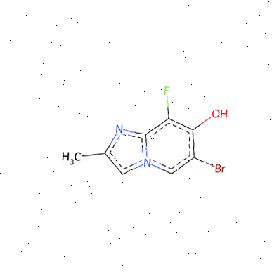 Cc1cn2cc(Br)c(O)c(F)c2n1